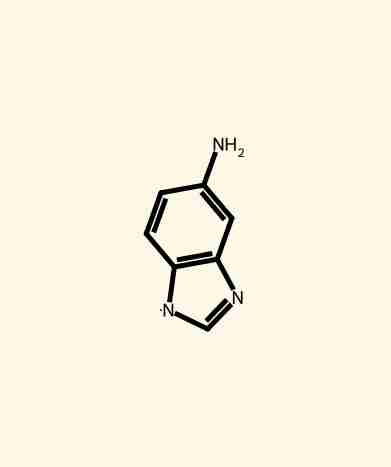 Nc1ccc2c(c1)N=C[N]2